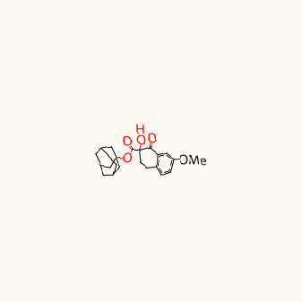 COc1ccc2c(c1)C(=O)C(O)(C(=O)OC13CC4CC(CC(C4)C1)C3)CC2